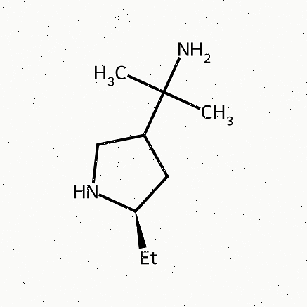 CC[C@@H]1CC(C(C)(C)N)CN1